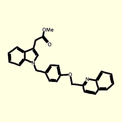 COC(=O)Cc1cn(Cc2ccc(OCc3ccc4ccccc4n3)cc2)c2ccccc12